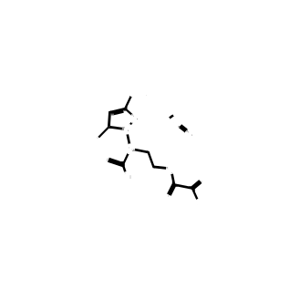 C=C(C)C(=O)OCCN(C(=O)O)N1NC(C)=CC1C.N=C=O